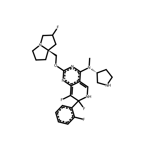 CN(c1nc(OC[C@@]23CCCN2CC(F)C3)nc2c1=CNC(F)(c1ccccc1F)C=2F)[C@@H]1CCNC1